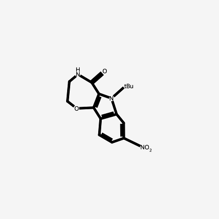 CC(C)(C)n1c2c(c3ccc([N+](=O)[O-])cc31)OCCNC2=O